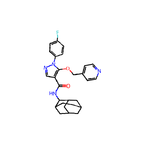 O=C(NC1C2CC3CC(C2)CC1C3)c1cnn(-c2ccc(F)cc2)c1OCc1ccncc1